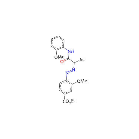 CCOC(=O)c1ccc(N=NC(C(C)=O)C(=O)Nc2ccccc2OC)c(OC)c1